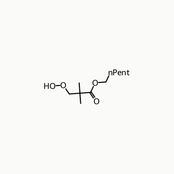 CCCCCCOC(=O)C(C)(C)COO